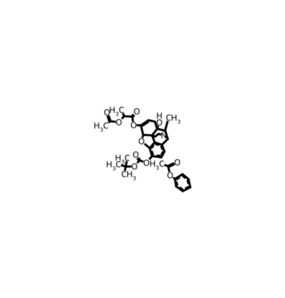 CC(=O)OC(C)C(=O)OC1=CCC2(O)C3Cc4ccc(OC(=O)OC(C)(C)C)c5c4C2(CCN3C)C1O5.CC(=O)Oc1ccccc1